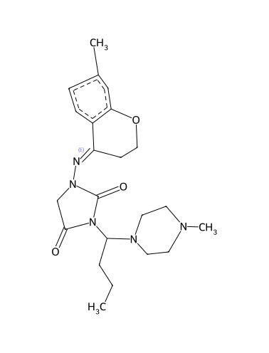 CCCC(N1CCN(C)CC1)N1C(=O)CN(/N=C2\CCOc3cc(C)ccc32)C1=O